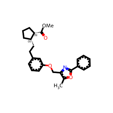 COC(=O)[C@H]1CCC[C@H]1CCc1cccc(OCc2nc(-c3ccccc3)oc2C)c1